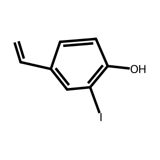 C=Cc1ccc(O)c(I)c1